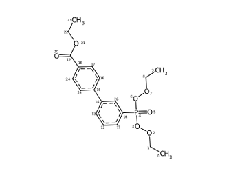 CCOOP(=O)(OOCC)c1cc[c]c(-c2ccc(C(=O)OCC)cc2)c1